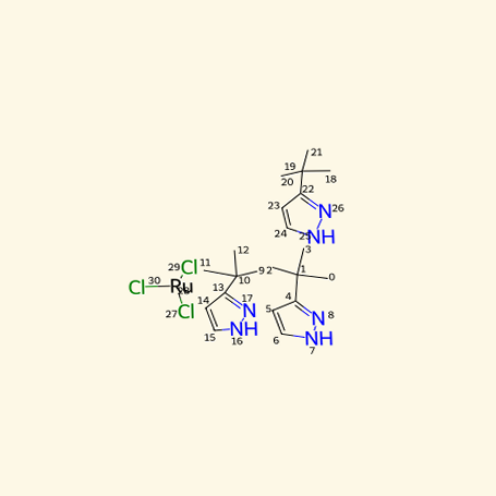 CC(C)(C)c1cc[nH]n1.CC(C)(C)c1cc[nH]n1.CC(C)(C)c1cc[nH]n1.[Cl][Ru]([Cl])[Cl]